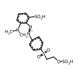 CN(C)c1cccc(S(=O)(=O)O)c1/N=N/c1ccc(S(=O)(=O)CCOS(=O)(=O)O)cc1